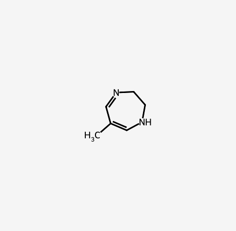 CC1=CNCCN=C1